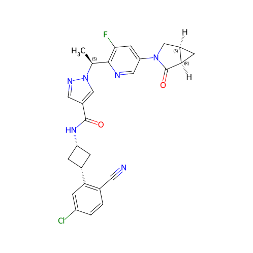 C[C@@H](c1ncc(N2C[C@H]3C[C@H]3C2=O)cc1F)n1cc(C(=O)N[C@H]2C[C@@H](c3cc(Cl)ccc3C#N)C2)cn1